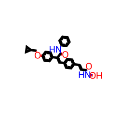 O=C(/C=C/c1ccc(C=C(C(=O)Nc2ccccc2)c2ccc(OCC3CC3)cc2)cc1)NO